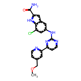 COCc1ccnc(-c2ccnc(Nc3cc(Cl)c4[nH]c(C(N)=O)cc4c3)n2)c1